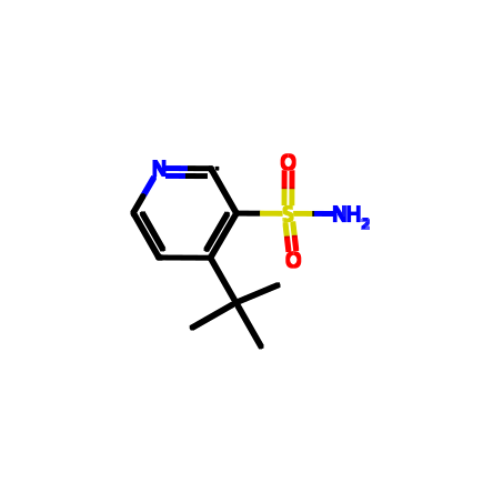 CC(C)(C)c1ccn[c]c1S(N)(=O)=O